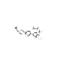 C=C(C1CC1)N(CC)c1cc(-c2ccc(N3CCN(CC4CC4)CC3)nc2)cc(C=O)c1C